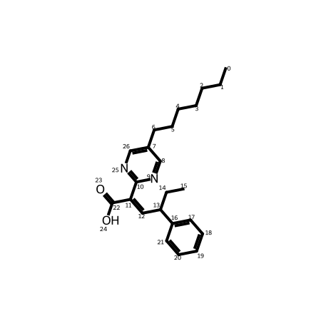 CCCCCCCc1cnc(/C(=C\C(CC)c2ccccc2)C(=O)O)nc1